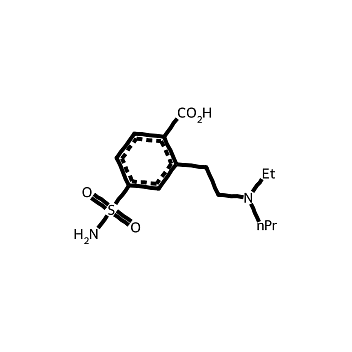 CCCN(CC)CCc1cc(S(N)(=O)=O)ccc1C(=O)O